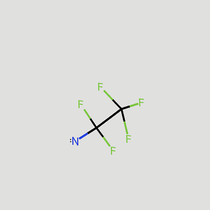 [N]C(F)(F)C(F)(F)F